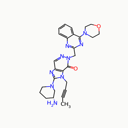 CC#CCn1c(N2CCC[C@@H](N)C2)nc2cnn(Cc3nc(N4CCOCC4)c4ccccc4n3)c(=O)c21